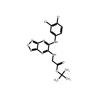 CC(C)(C)OC(=O)CNc1nc2nonc2nc1Nc1ccc(Cl)c(Cl)c1